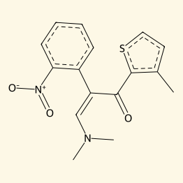 Cc1ccsc1C(=O)C(=CN(C)C)c1ccccc1[N+](=O)[O-]